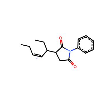 CC/C=C\C(CC)C1CC(=O)N(c2ccccc2)C1=O